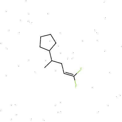 CC(CC=C(F)F)C1CCCC1